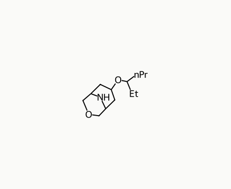 CCCC(CC)OC1CC2COCC(C1)N2